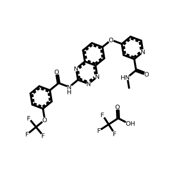 CNC(=O)c1cc(Oc2ccc3nc(NC(=O)c4cccc(OC(F)(F)F)c4)nnc3c2)ccn1.O=C(O)C(F)(F)F